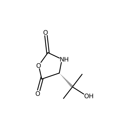 CC(C)(O)[C@H]1NC(=O)OC1=O